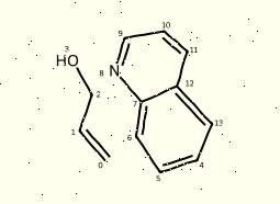 C=CCO.c1ccc2ncccc2c1